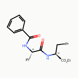 CCOC(=O)[C@H](CC(C)C)NC(=O)[C@@H](NC(=O)c1ccccc1)C(C)C